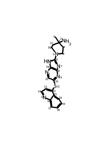 CC1(N)CCN(c2nc3nc(Sc4ccnc5ccccc45)cnc3[nH]2)CC1